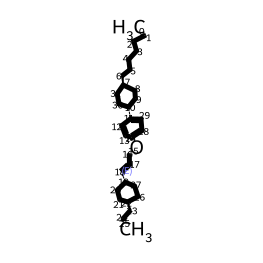 CCCCCCC[C@H]1CC[C@H](c2ccc(OC/C=C/[C@H]3CC[C@H](CCC)CC3)cc2)CC1